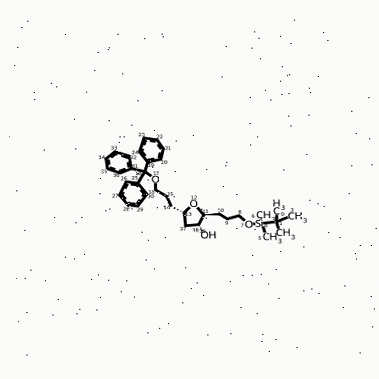 CC(C)(C)[Si](C)(C)OCCC[C@@H]1O[C@@H](CCCOC(c2ccccc2)(c2ccccc2)c2ccccc2)C[C@H]1O